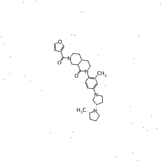 Cc1cc(N2CC[C@H](N3CCC[C@@H]3C)C2)ccc1N1CCC2CCN(C(=O)c3ccoc3)CC2C1=O